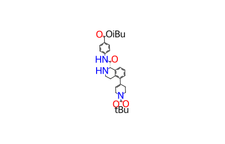 CC(C)COC(=O)c1ccc(NC(=O)[C@H]2NCCc3c(C4=CCN(C(=O)OC(C)(C)C)CC4)cccc32)cc1